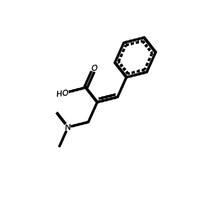 CN(C)CC(=Cc1ccccc1)C(=O)O